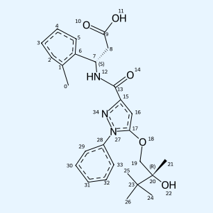 Cc1ccccc1[C@H](CC(=O)O)NC(=O)c1cc(OC[C@](C)(O)C(C)(C)C)n(-c2ccccc2)n1